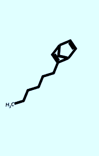 CCCCCCC1=CC2C=CC1C2